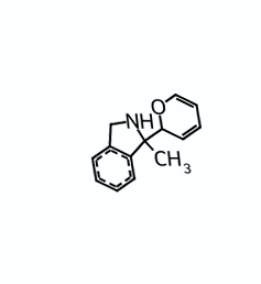 CC1(C2C=CC=CO2)NCc2ccccc21